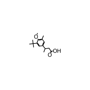 COc1c(C)cc(C(C)CC(=O)O)cc1C(C)(C)C